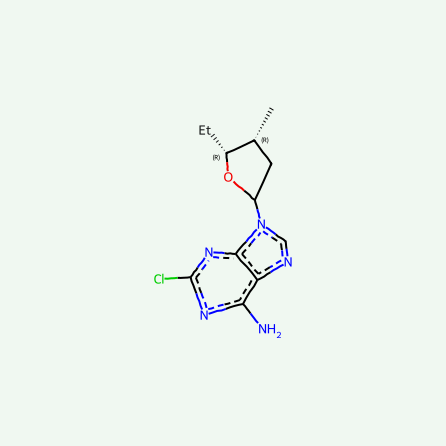 CC[C@H]1OC(n2cnc3c(N)nc(Cl)nc32)C[C@H]1C